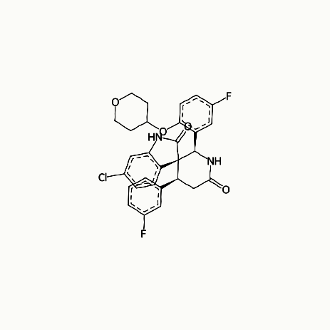 O=C1C[C@@H](c2cccc(F)c2)[C@]2(C(=O)Nc3cc(Cl)ccc32)[C@@H](c2cc(F)ccc2OC2CCOCC2)N1